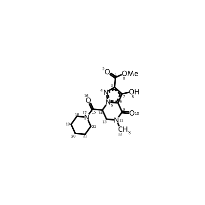 COC(=O)c1nn2c(c1O)C(=O)N(C)CC2C(=O)N1CCCCC1